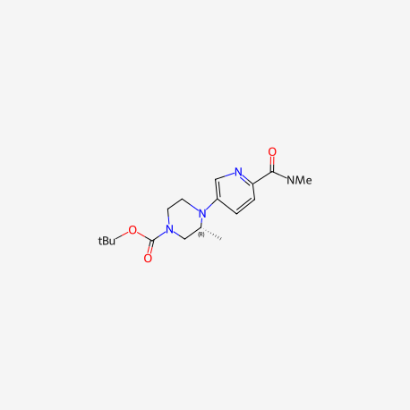 CNC(=O)c1ccc(N2CCN(C(=O)OC(C)(C)C)C[C@H]2C)cn1